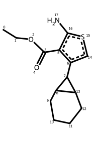 CCOC(=O)c1c(C2C3CCCCC32)csc1N